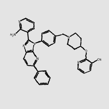 N#Cc1cccnc1OC1CCN(Cc2ccc(-n3c(-c4cccnc4N)nc4ccc(-c5ccccc5)nc43)cc2)CC1